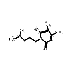 Cc1cc(=O)n(CCCN(C)C)c(O)c1C